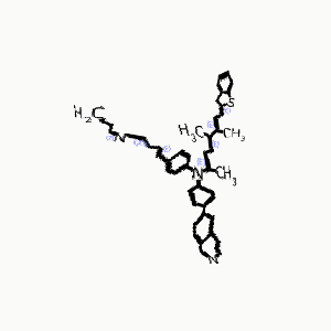 C=CC/C=N\C=C/C/C=C/c1ccc(N(/C(C)=C/C=C(C)/C(C)=C/C=C2\Cc3ccccc3S2)c2ccc(-c3ccc4cnccc4c3)cc2)cc1